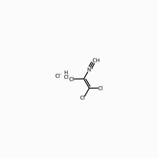 C#[N+]C(Cl)=C(Cl)Cl.Cl.[Cl-]